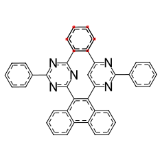 c1ccc(-c2cc(-c3c(-c4nc(-c5ccccc5)nc(-c5ccccc5)n4)c4ccccc4c4ccccc34)nc(-c3ccccc3)n2)cc1